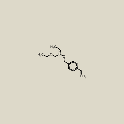 C=Cc1ccc(CO[SiH](CC)COCC)cc1